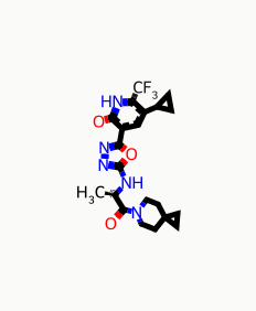 C[C@@H](Nc1nnc(-c2cc(C3CC3)c(C(F)(F)F)[nH]c2=O)o1)C(=O)N1CCC2(CC1)CC2